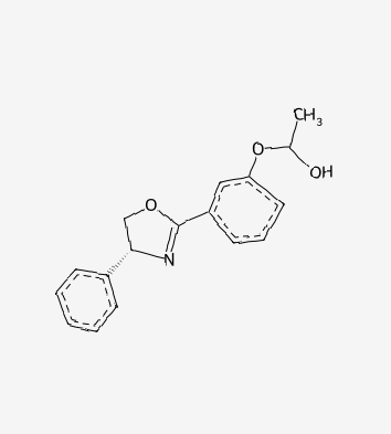 CC(O)Oc1cccc(C2=N[C@H](c3ccccc3)CO2)c1